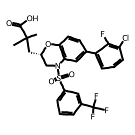 CC(C)(C[C@H]1CN(S(=O)(=O)c2cccc(C(F)(F)F)c2)c2cc(-c3cccc(Cl)c3F)ccc2O1)C(=O)O